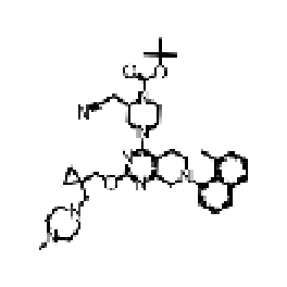 Cc1cccc2cccc(N3CCc4c(nc(OCC5(CN6CCN(C)CC6)CC5)nc4N4CCN(C(=O)OC(C)(C)C)C(CC#N)C4)C3)c12